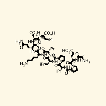 CC(C)C[C@H](NC(=O)[C@H](CC(=O)O)NC(=O)[C@H](CCC(N)=O)NC(=O)[C@H](CCCCN)NC(=O)[C@@H](NC(=O)[C@H](CC(C)C)NC(=O)[C@@H]1CCCN1C(=O)[C@@H](NC(=O)[C@@H]1CCCN1C(=O)[C@H](CCC(=O)O)NC(=O)[C@H](C)N)C(C)C)C(C)C)C(=O)O